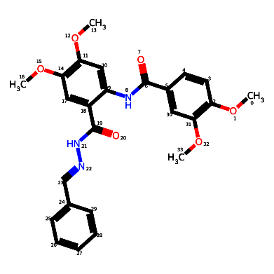 COc1ccc(C(=O)Nc2cc(OC)c(OC)cc2C(=O)NN=Cc2ccccc2)cc1OC